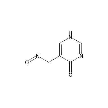 O=NCc1c[nH]cnc1=O